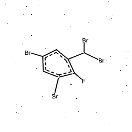 Fc1c(Br)cc(Br)cc1C(Br)Br